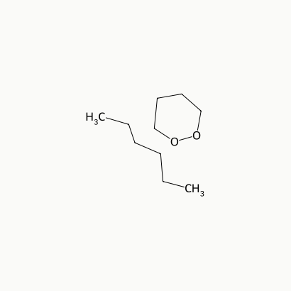 C1CCOOC1.CCCCCC